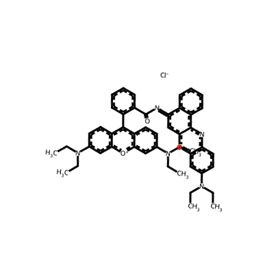 CCN(CC)c1ccc2nc3c4ccccc4c(=NC(=O)c4ccccc4-c4c5ccc(N(CC)CC)cc5[o+]c5cc(N(CC)CC)ccc45)cc-3oc2c1.[Cl-]